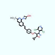 O=C(O)c1cc2ccc(C=CC34CCC(OCc5c(-c6c(Cl)cncc6Cl)noc5C5CC5)(CC3)CC4)cc2c(N2CC(O)C2)n1